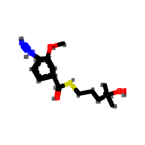 COc1cc(C(=O)SCCC[Si](C)(C)O)ccc1[N+]#N